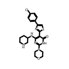 O=c1[nH]c(N2CCOCC2)nc(NC2CCCNC2)c1-c1nc(-c2ccc(Cl)cc2)cs1